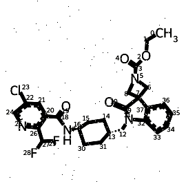 CCOC(=O)N1CC2(C1)C(=O)N(C[C@H]1CC[C@H](NC(=O)c3cc(Cl)cnc3C(F)F)CC1)c1ccccc12